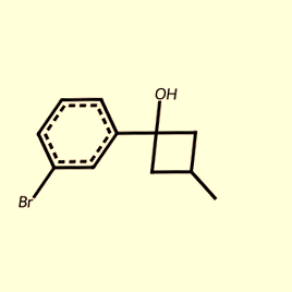 CC1CC(O)(c2cccc(Br)c2)C1